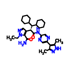 CCn1ncc([C@@H](C(=O)Nc2cnc(-c3c(C)n[nH]c3C)cn2)C(C2CCCCC2)C2CCCCC2)c1C(N)=O